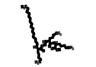 CCCCCCCCCCCCCCCCNC(CCCCN)C(=O)OONC(CCSC)C(=O)NC(CCCCN)C(=O)O